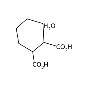 O.O=C(O)C1CCCCC1C(=O)O